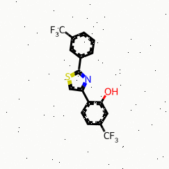 Oc1cc(C(F)(F)F)ccc1-c1csc(-c2cccc(C(F)(F)F)c2)n1